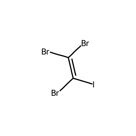 BrC(Br)=C(Br)I